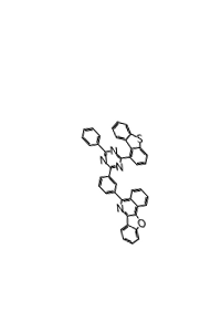 c1ccc(-c2nc(-c3cccc(-c4nc5c6ccccc6oc5c5ccccc45)c3)nc(-c3cccc4sc5ccccc5c34)n2)cc1